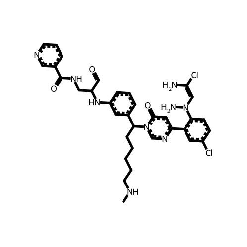 CNCCCCCC(c1cccc(NC(C=O)CNC(=O)c2cccnc2)c1)n1cnc(-c2cc(Cl)ccc2N(N)/C=C(\N)Cl)cc1=O